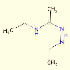 C=C(/N=N\CC)NCC